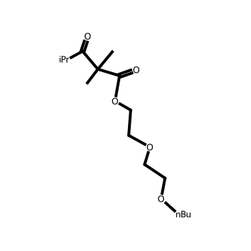 CCCCOCCOCCOC(=O)C(C)(C)C(=O)C(C)C